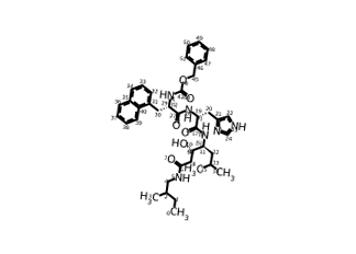 CCC(C)CNC(=O)C[C@H](O)[C@H](CC(C)C)NC(=O)[C@@H](Cc1c[nH]cn1)NC(=O)[C@H](Cc1cccc2ccccc12)NC(=O)OCc1ccccc1